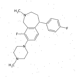 CN1CCN(c2ccc3c(c2F)CN(C)CCC3c2ccc(F)cc2)CC1